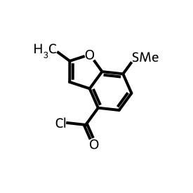 CSc1ccc(C(=O)Cl)c2cc(C)oc12